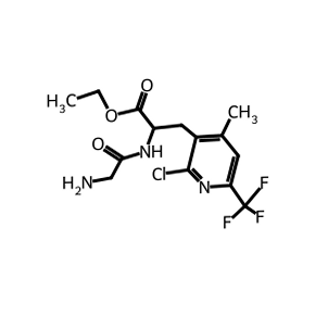 CCOC(=O)C(Cc1c(C)cc(C(F)(F)F)nc1Cl)NC(=O)CN